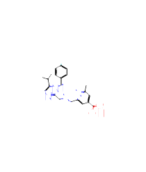 Cc1cc(C(=O)O)cc(CNCc2ncc(C(C)C)n2Cc2ccc(F)cc2)n1